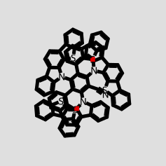 N#Cc1c(-n2c3ccccc3c3ccc4c5ccccc5sc4c32)c(-c2cccc3c2sc2ccccc23)c(-n2c3ccccc3c3ccc4c5ccccc5sc4c32)c(-c2cccc3c2sc2ccccc23)c1-n1c2ccccc2c2ccc3c4ccccc4sc3c21